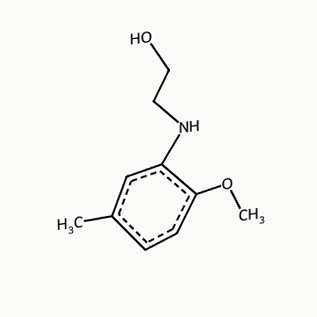 COc1ccc(C)cc1NCCO